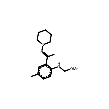 COCNc1ccc(C)cc1/C(C)=N/N1CCCCC1